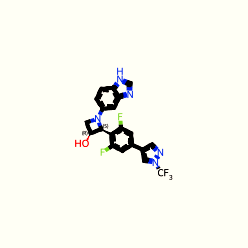 O[C@@H]1CN(c2ccc3[nH]cnc3c2)[C@H]1c1c(F)cc(-c2cnn(C(F)(F)F)c2)cc1F